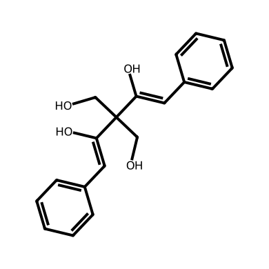 OCC(CO)(C(O)=Cc1ccccc1)C(O)=Cc1ccccc1